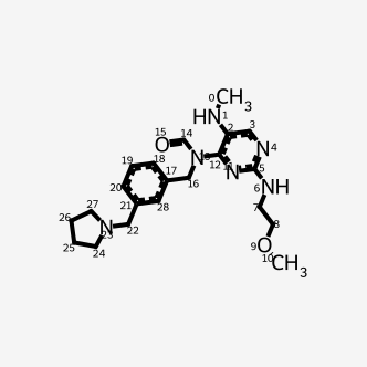 CNc1cnc(NCCOC)nc1N(C=O)Cc1cccc(CN2CCCC2)c1